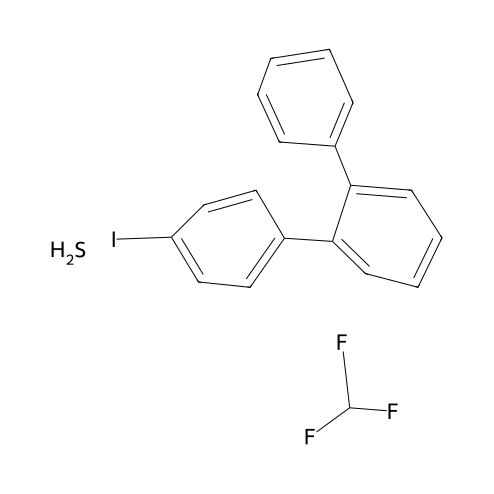 FC(F)F.Ic1ccc(-c2ccccc2-c2ccccc2)cc1.S